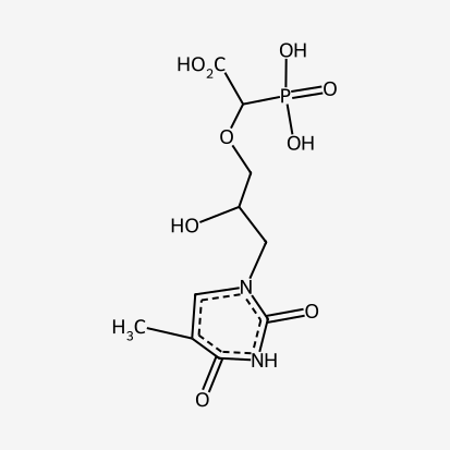 Cc1cn(CC(O)COC(C(=O)O)P(=O)(O)O)c(=O)[nH]c1=O